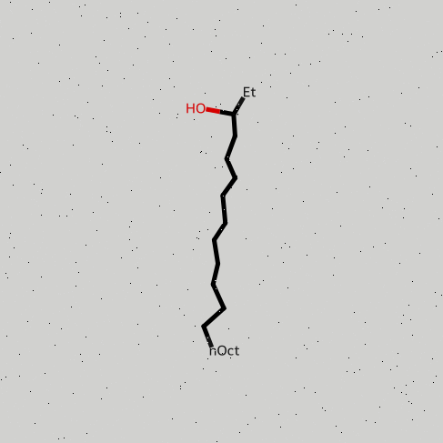 CCCCCCCCCCCCCCCCCC[C](O)CC